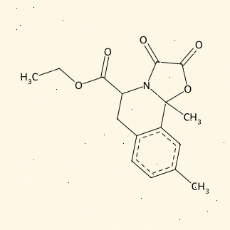 CCOC(=O)C1Cc2ccc(C)cc2C2(C)OC(=O)C(=O)N12